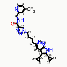 O=C(NCc1cc(C(F)(F)F)ccn1)c1cn(CCCCc2cc3c(C4CC4)c(C4CC4)[nH]c3nn2)nn1